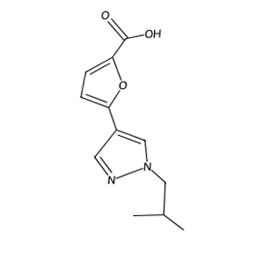 CC(C)Cn1cc(-c2ccc(C(=O)O)o2)cn1